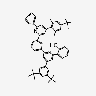 Cc1cc(C(C)(C)C)cc(C)c1-c1cc(-c2ccccc2)nc(-c2cccc(-c3cc(-c4cc(C(C)(C)C)cc(C(C)(C)C)c4)cc(-c4ccccc4O)n3)c2)c1